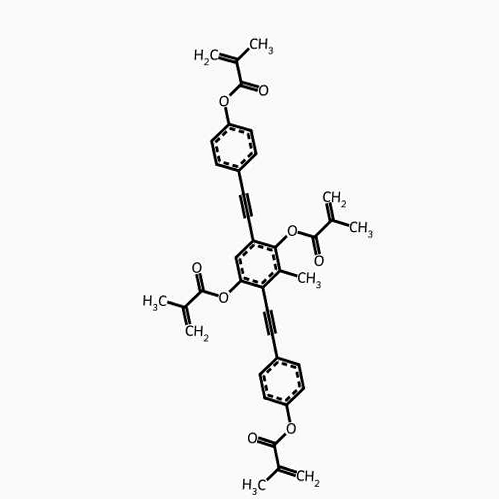 C=C(C)C(=O)Oc1ccc(C#Cc2cc(OC(=O)C(=C)C)c(C#Cc3ccc(OC(=O)C(=C)C)cc3)c(C)c2OC(=O)C(=C)C)cc1